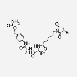 CC(C)[C@H](NC(=O)CCCCCN1C(=O)C=C(Br)C1=O)C(=O)N[C@@H](C)C(=O)Nc1ccc(COC(N)=O)cc1